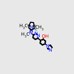 CN(c1ccc(-c2ccc(-n3ccnc3)cc2O)nn1)[C@@H]1C[C@@]2(C)CC[C@](C)(N2)[C@@H]1F